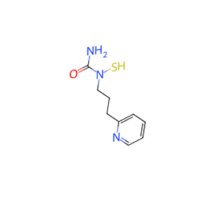 NC(=O)N(S)CCCc1ccccn1